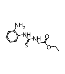 CCOC(=O)CNC(=S)Nc1ccccc1N